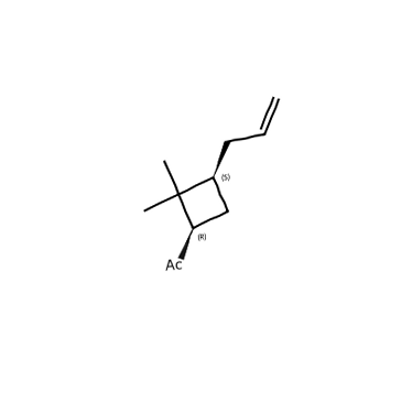 C=CC[C@H]1C[C@@H](C(C)=O)C1(C)C